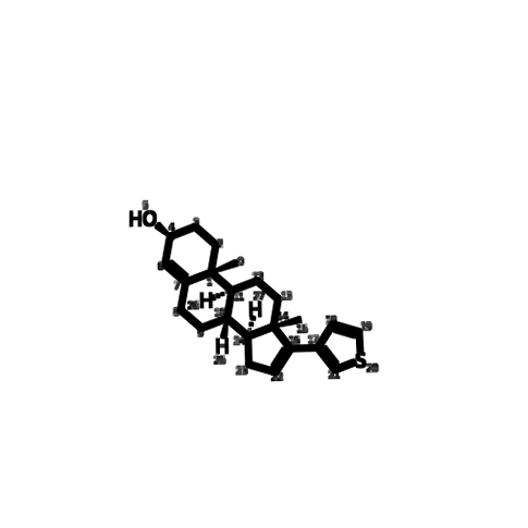 C[C@]12CC[C@H](O)C=C1CC[C@@H]1[C@@H]2CC[C@]2(C)C(c3ccsc3)=CC[C@@H]12